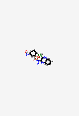 O=Nc1cccc(S(=O)(=O)Nc2nc3ccccc3nc2Cl)c1